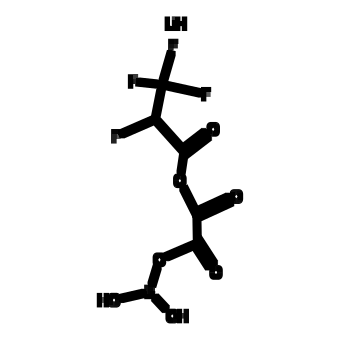 O=C(OB(O)O)C(=O)OC(=O)C(F)C(F)(F)F.[LiH]